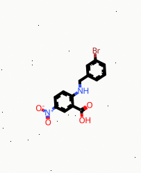 O=C(O)c1cc([N+](=O)[O-])ccc1NCc1cccc(Br)c1